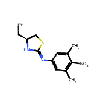 Cc1cc(/N=C2/N[C@@H](CC(C)C)CS2)cc(C)c1[N+](=O)[O-]